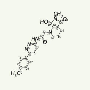 Cc1ccc(-c2ccc(NC(=O)CN3CCCC4=C3C(O)N(C)C4=O)nn2)cc1